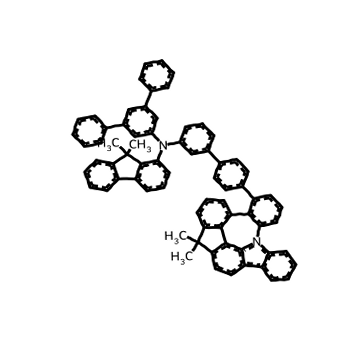 CC1(C)c2cccc3c2-c2c1ccc1c4ccccc4n(c21)-c1cccc(-c2ccc(-c4cccc(N(c5cc(-c6ccccc6)cc(-c6ccccc6)c5)c5cccc6c5C(C)(C)c5ccccc5-6)c4)cc2)c1-3